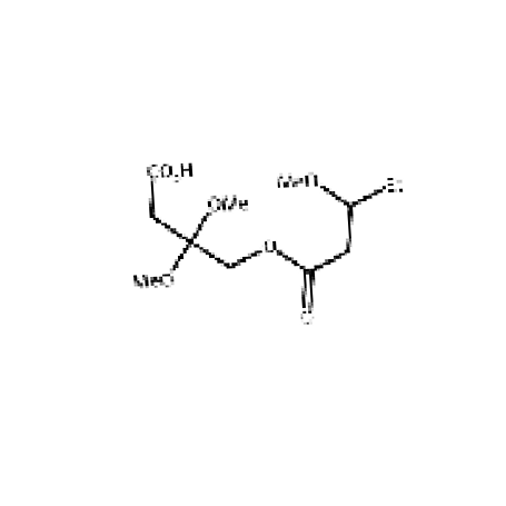 CCC(CC(=O)OCC(CC(=O)O)(OC)OC)OC